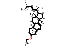 COCOC1CC[C@@]2(C)C(=CC=C3[C@@H]4CC[C@H]([C@H](C)C=C[C@H](C)C(C)C)[C@@]4(C)CC[C@@H]32)C1